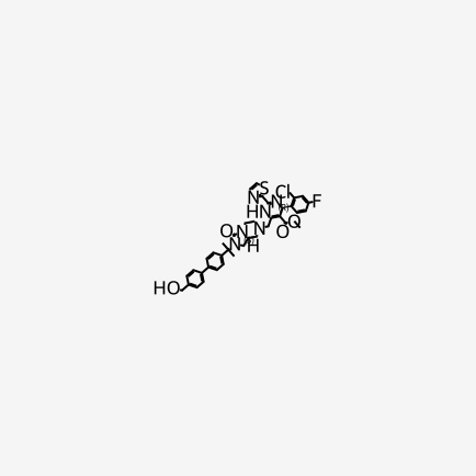 COC(=O)C1=C(CN2CCN3C(=O)N(C(C)(C)c4ccc(-c5ccc(CO)cc5)cc4)C[C@@H]3C2)NC(c2nccs2)=N[C@H]1c1ccc(F)cc1Cl